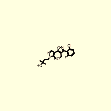 Cc1c(-c2onc(-c3c(F)cccc3Cl)c2CO)cnn1CCC(C)(C)O